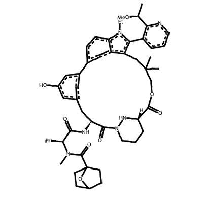 CCn1c(-c2cccnc2[C@H](C)OC)c2c3cc(ccc31)-c1cc(O)cc(c1)C[C@H](NC(=O)[C@H](C(C)C)N(C)C(=O)C13CCC(CC1)O3)C(=O)N1CCC[C@H](N1)C(=O)OCC(C)(C)C2